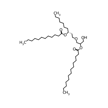 CCCCCCCCCCCCCC(=O)OC(CO)COCC[C@@H](CCCCCCC)OC(=O)CCCCCCCCCCC